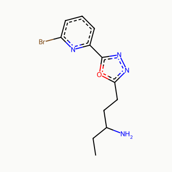 CCC(N)CCc1nnc(-c2cccc(Br)n2)o1